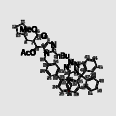 CCCCc1ncc(C(OC(C)=O)C(CC2CCCC2)C(=O)OC)n1Cc1ccc(-c2ccccc2-c2nnnn2C(c2ccccc2)(c2ccccc2)c2ccccc2)cc1